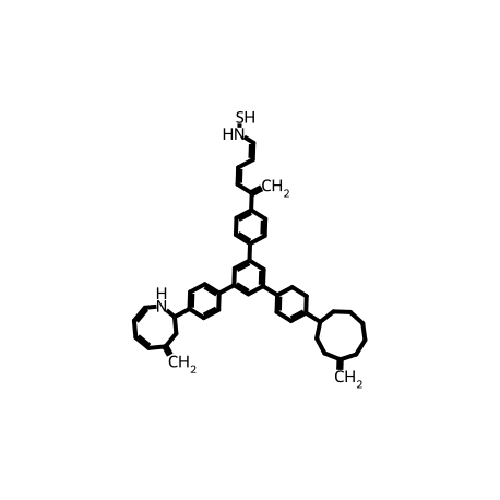 C=C1/C=C\C=C/NC(c2ccc(-c3cc(C4=CC=C(C5CCCCCC(=C)CC5)CC4)cc(-c4ccc(C(=C)/C=C\C=C/NS)cc4)c3)cc2)C1